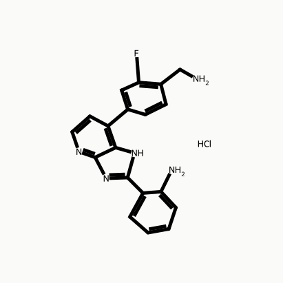 Cl.NCc1ccc(-c2ccnc3nc(-c4ccccc4N)[nH]c23)cc1F